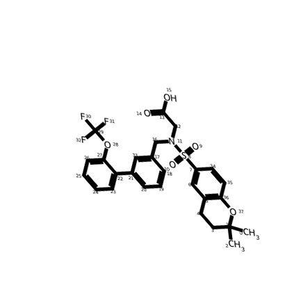 CC1(C)CCc2cc(S(=O)(=O)N(CC(=O)O)Cc3cccc(-c4ccccc4OC(F)(F)F)c3)ccc2O1